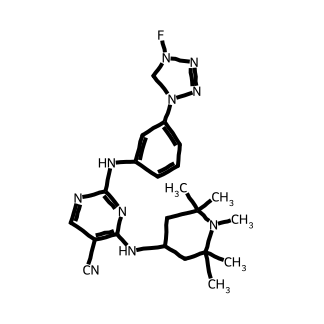 CN1C(C)(C)CC(Nc2nc(Nc3cccc(N4CN(F)N=N4)c3)ncc2C#N)CC1(C)C